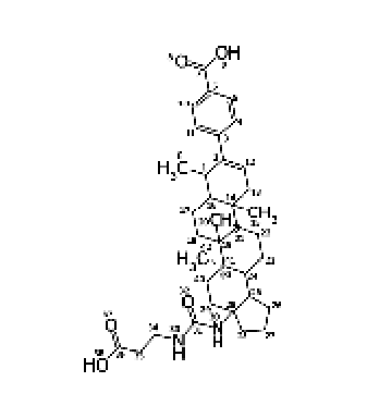 CC1C(c2ccc(C(=O)O)cc2)=CCC2(C)C1CCC1(C)C2CCC2C3CCCC3(NC(=O)NCCC(=O)O)CC[C@]21C